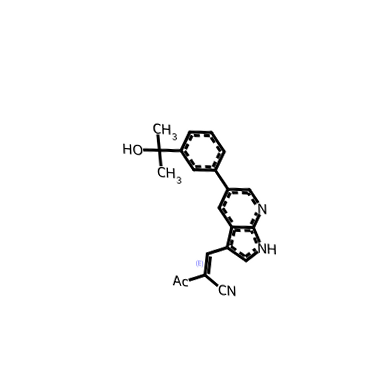 CC(=O)/C(C#N)=C/c1c[nH]c2ncc(-c3cccc(C(C)(C)O)c3)cc12